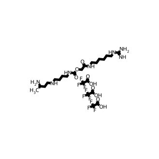 CC(N)CCNCCCCNC(=O)OCC(=O)NCCCCCCNC(=N)N.O=C(O)C(F)(F)F.O=C(O)C(F)(F)F.O=C(O)C(F)(F)F